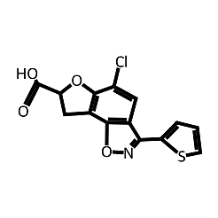 O=C(O)C1Cc2c(c(Cl)cc3c(-c4cccs4)noc23)O1